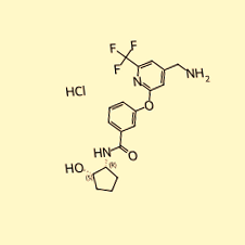 Cl.NCc1cc(Oc2cccc(C(=O)N[C@@H]3CCC[C@@H]3O)c2)nc(C(F)(F)F)c1